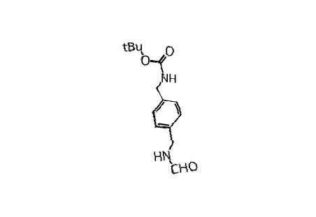 CC(C)(C)OC(=O)NCc1ccc(CNC=O)cc1